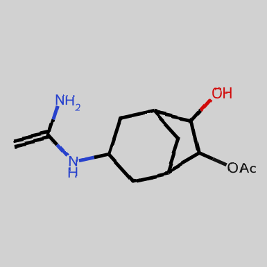 C=C(N)NC1CC2CC(C1)C(OC(C)=O)C2O